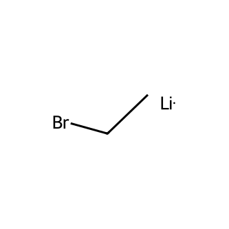 CCBr.[Li]